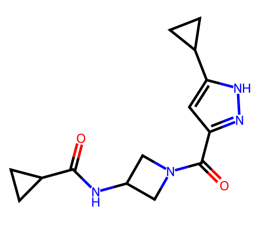 O=C(NC1CN(C(=O)c2cc(C3CC3)[nH]n2)C1)C1CC1